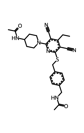 CCc1c(C#N)c(SCc2ccc(CNC(C)=O)cc2)nc(N2CCC(NC(C)=O)CC2)c1C#N